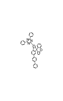 c1ccc(-c2ccc(-c3ccc4c(c3)C3(c5ccccc5Oc5ccccc53)c3ccc(-c5nc(-c6ccccc6)nc(-c6ccccc6)n5)cc3-4)cc2)cc1